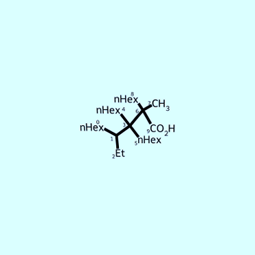 CCCCCCC(CC)C(CCCCCC)(CCCCCC)C(C)(CCCCCC)C(=O)O